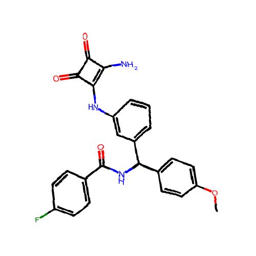 COc1ccc(C(NC(=O)c2ccc(F)cc2)c2cccc(Nc3c(N)c(=O)c3=O)c2)cc1